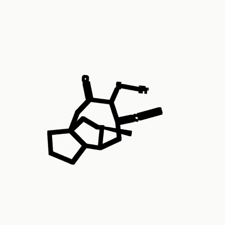 C=C=C1CC2C3CCCC3(CC[C@H]2C)CC(=O)C1SC(C)C